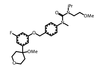 COCCN(C(=O)N(C)c1ccc(COc2cc(F)cc(C3(OC)CCOCC3)c2)cc1)C(C)C